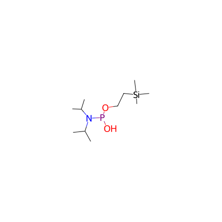 CC(C)N(C(C)C)P(O)OCC[Si](C)(C)C